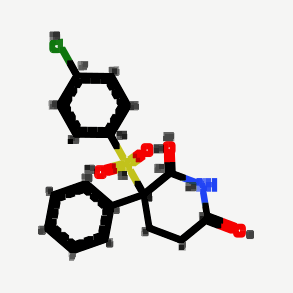 O=C1CCC(c2ccccc2)(S(=O)(=O)c2ccc(Cl)cc2)C(=O)N1